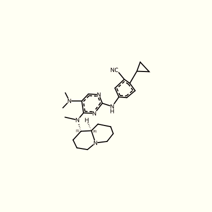 CN(C)c1cnc(Nc2ccc(C3CC3)c(C#N)c2)nc1N(C)[C@H]1CCCN2CCCC[C@H]12